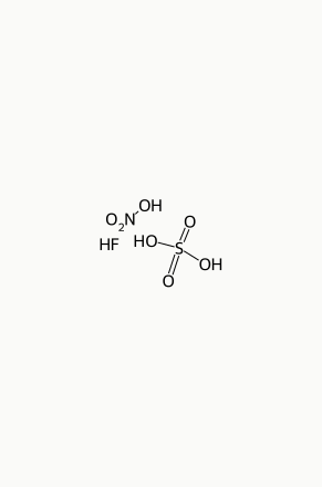 F.O=S(=O)(O)O.O=[N+]([O-])O